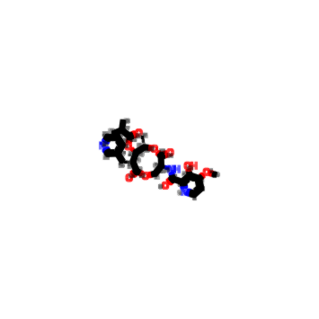 COc1ccnc(C(=O)N[C@H]2COC(=O)[C@H](Cc3cccnc3)[C@@H](OC(=O)C(C)C)[C@H](C)OC2=O)c1O